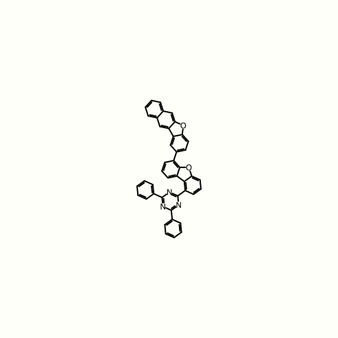 c1ccc(-c2nc(-c3ccccc3)nc(-c3cccc4oc5c(-c6ccc7oc8cc9ccccc9cc8c7c6)cccc5c34)n2)cc1